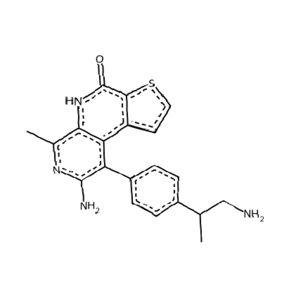 Cc1nc(N)c(-c2ccc(C(C)CN)cc2)c2c1[nH]c(=O)c1sccc12